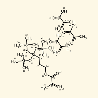 C=C(C)C(=O)O.C=C(C)C(=O)O.C=C(C)C(=O)O.C=C(C)C(=O)OCCC[Si](O[Si](C)(C)C)(O[Si](C)(C)C)O[Si](C)(C)C